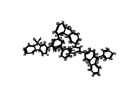 CC1(C)c2ccccc2-c2ccc(-c3nc(-c4ccccc4)nc(-c4cccc5oc6ccc(-c7cccc(-c8ccc9c(c8)c8ccccc8n9-c8ccccc8)c7)cc6c45)n3)cc21